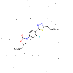 CC(=O)NCCc1nnc(-c2ccc(N3CC(CNC(C)=O)OC3=O)cc2F)s1